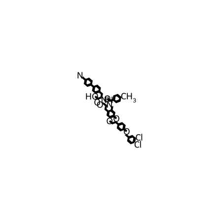 Cc1ccc(C(=O)N2Cc3cc4c(cc3CC2C(=O)NC(Cc2ccc(-c3ccc(C#N)cc3)cc2)C(=O)O)OCC(c2ccc(OCc3ccc(Cl)c(Cl)c3)cc2)O4)cc1